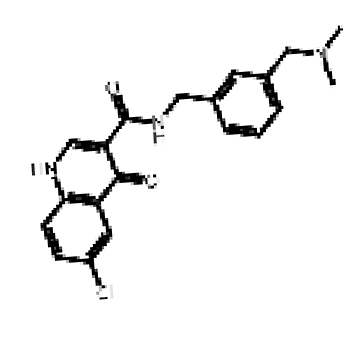 CN(C)Cc1cccc(CNC(=O)c2c[nH]c3ccc(Cl)cc3c2=O)c1